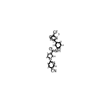 N#Cc1ccc(N2CCC(C(=O)Nc3cccc(-c4noc(C(F)(F)F)n4)c3)C2)nc1